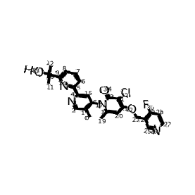 Cc1cnc(-c2cccc(C(C)(C)O)n2)cc1-n1c(C)cc(OCc2cnccc2F)c(Cl)c1=O